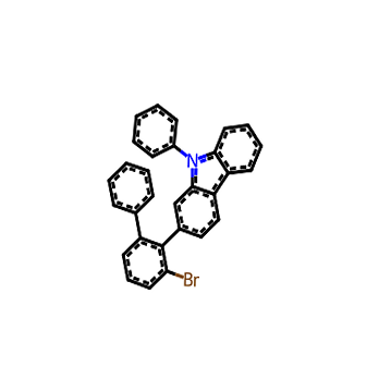 Brc1cccc(-c2ccccc2)c1-c1ccc2c3ccccc3n(-c3ccccc3)c2c1